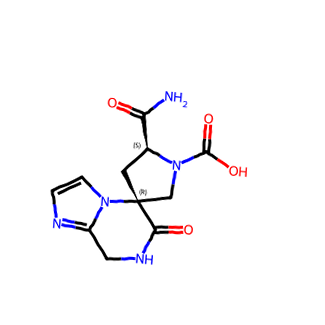 NC(=O)[C@@H]1C[C@@]2(CN1C(=O)O)C(=O)NCc1nccn12